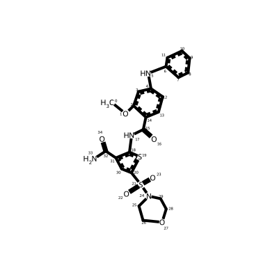 COc1cc(Nc2ccccc2)ccc1C(=O)Nc1sc(S(=O)(=O)N2CCOCC2)cc1C(N)=O